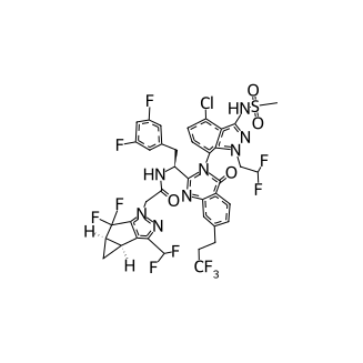 CS(=O)(=O)Nc1nn(CC(F)F)c2c(-n3c([C@H](Cc4cc(F)cc(F)c4)NC(=O)Cn4nc(C(F)F)c5c4C(F)(F)[C@@H]4C[C@H]54)nc4cc(CCC(F)(F)F)ccc4c3=O)ccc(Cl)c12